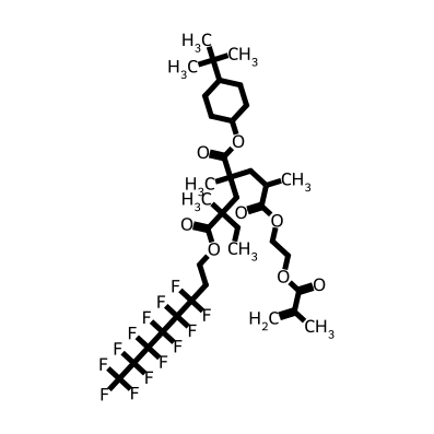 C=C(C)C(=O)OCCOC(=O)C(C)CC(C)(CC(C)(CC)C(=O)OCCC(F)(F)C(F)(F)C(F)(F)C(F)(F)C(F)(F)C(F)(F)F)C(=O)OC1CCC(C(C)(C)C)CC1